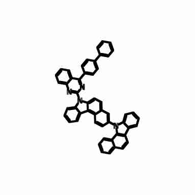 c1ccc(-c2ccc(-c3nc(-n4c5ccccc5c5c6ccc(-n7c8ccccc8c8ccc9ccccc9c87)cc6ccc54)nc4ccccc34)cc2)cc1